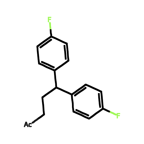 CC(=O)CCC(c1ccc(F)cc1)c1ccc(F)cc1